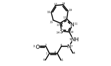 C/C(C=O)=C(\C)CN(C)Nc1nc2c(s1)CC=CC=C2